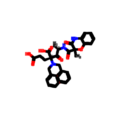 C[C@H](NC(=O)C1(C)Oc2ccccc2NC1=O)C(=O)[C@@](CCC(=O)O)(C(=O)O)N(Cc1ccccc1)Cc1ccccc1